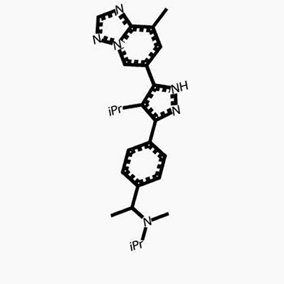 Cc1cc(-c2[nH]nc(-c3ccc(C(C)N(C)C(C)C)cc3)c2C(C)C)cn2ncnc12